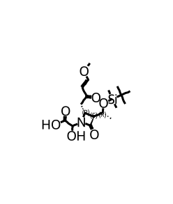 COC=CC(=O)C[C@@H]1[C@@H]([C@@H](C)O[Si](C)(C)C(C)(C)C)C(=O)N1C(O)C(=O)O